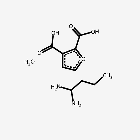 CCCC(N)N.O.O=C(O)c1ccoc1C(=O)O